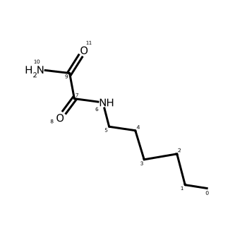 CCCCCCNC(=O)C(N)=O